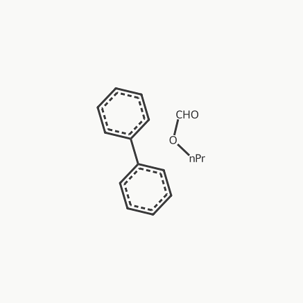 CCCOC=O.c1ccc(-c2ccccc2)cc1